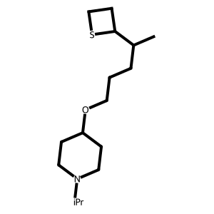 CC(CCCOC1CCN(C(C)C)CC1)C1CCS1